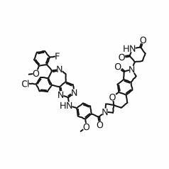 COc1cc(Nc2ncc3c(n2)-c2ccc(Cl)cc2C(c2c(F)cccc2OC)=NC3)ccc1C(=O)N1CC2(CCc3cc4c(cc3O2)C(=O)N(C2CCC(=O)NC2=O)C4)C1